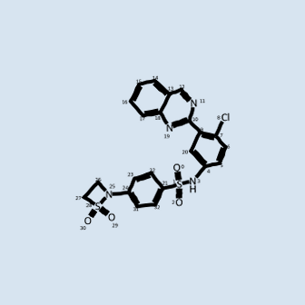 O=S(=O)(Nc1ccc(Cl)c(-c2ncc3ccccc3n2)c1)c1ccc(N2CCS2(=O)=O)cc1